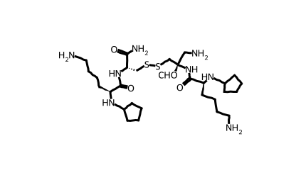 NCCCC[C@H](NC1CCCC1)C(=O)N[C@@H](CSSC[C@](C=O)(CN)NC(=O)[C@H](CCCCN)NC1CCCC1)C(N)=O